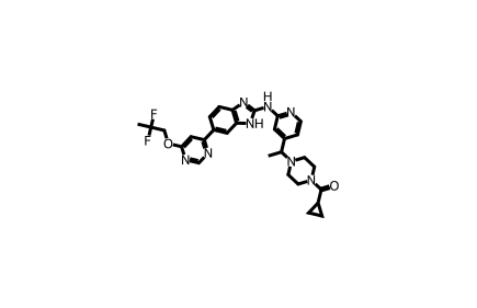 CC(c1ccnc(Nc2nc3ccc(-c4cc(OCC(C)(F)F)ncn4)cc3[nH]2)c1)N1CCN(C(=O)C2CC2)CC1